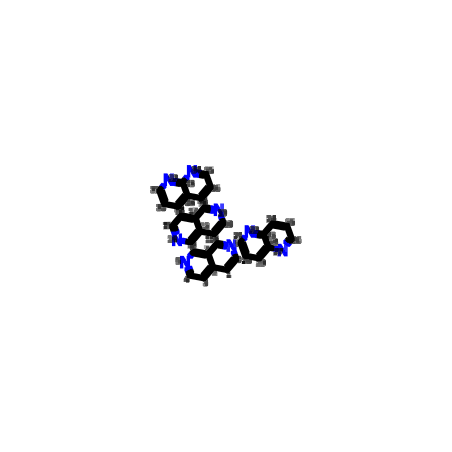 c1cc2ccncc2cn1.c1cc2cnccc2cn1.c1cnc2cccnc2c1.c1cnc2ncccc2c1